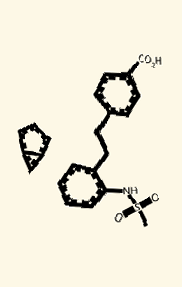 CS(=O)(=O)Nc1ccccc1CCc1ccc(C(=O)O)cc1.c1cc2cc-2c1